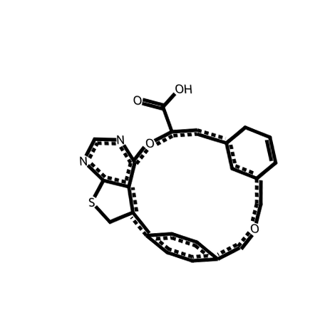 O=C(O)c1cc2cc(cocc3ccc(cc3)c3c4c(ncnc4o1)SC3)C=CC2